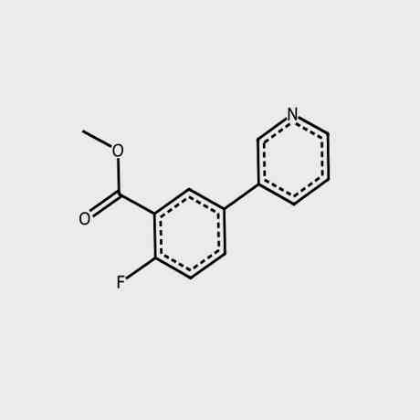 COC(=O)c1cc(-c2cccnc2)ccc1F